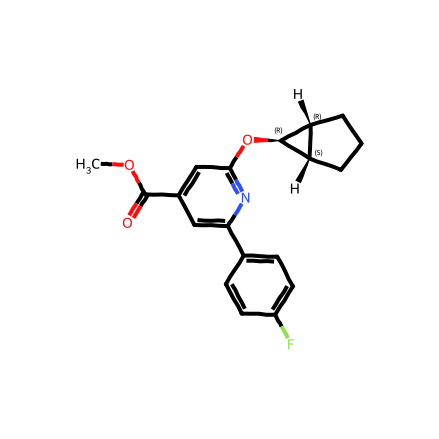 COC(=O)c1cc(O[C@H]2[C@@H]3CCC[C@@H]32)nc(-c2ccc(F)cc2)c1